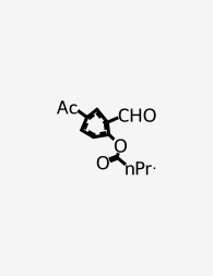 CC[CH]C(=O)Oc1ccc(C(C)=O)cc1C=O